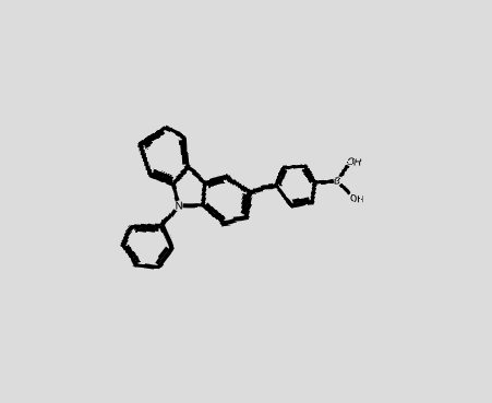 OB(O)c1ccc(-c2ccc3c(c2)c2ccccc2n3-c2ccccc2)cc1